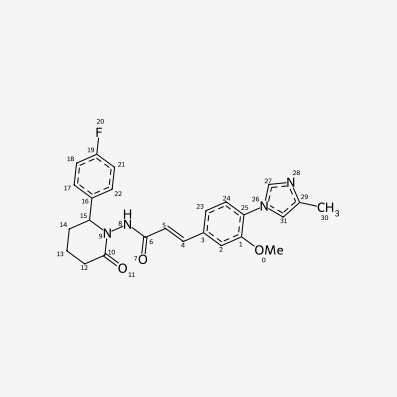 COc1cc(C=CC(=O)NN2C(=O)CCCC2c2ccc(F)cc2)ccc1-n1cnc(C)c1